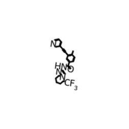 Cc1ccc(C(=O)Nc2cn3c(n2)CCCC3C(F)(F)F)cc1C#Cc1cccnc1